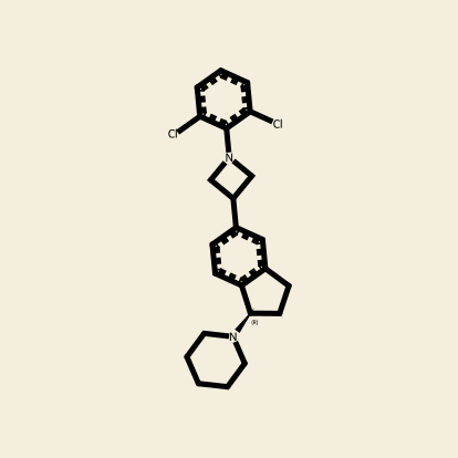 Clc1cccc(Cl)c1N1CC(c2ccc3c(c2)CC[C@H]3N2CCCCC2)C1